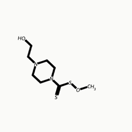 COSC(=S)N1CCN(CCO)CC1